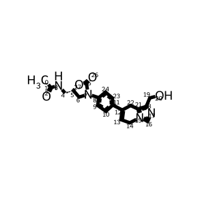 CC(=O)NC[C@H]1CN(c2ccc(C3=CCn4cnc(CO)c4C3)cc2)C(=O)O1